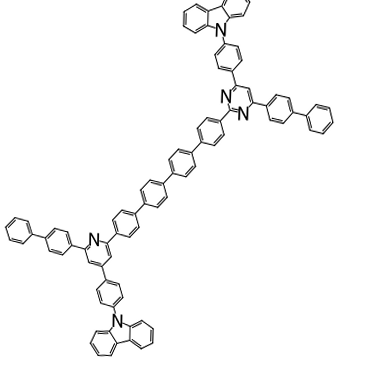 c1ccc(-c2ccc(-c3cc(-c4ccc(-n5c6ccccc6c6ccccc65)cc4)cc(-c4ccc(-c5ccc(-c6ccc(-c7ccc(-c8nc(-c9ccc(-c%10ccccc%10)cc9)cc(-c9ccc(-n%10c%11ccccc%11c%11ccccc%11%10)cc9)n8)cc7)cc6)cc5)cc4)n3)cc2)cc1